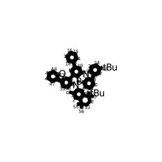 Cc1cc2c(cc1N1B3c4c(cc(-c5ccccc5)cc4-n4c5ccc(C(C)(C)C)cc5c5cc(C(C)(C)C)cc3c54)-c3c1ccc1c3oc3ccccc31)C(C)(C)CCC2(C)C